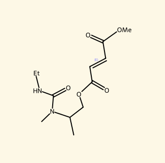 CCNC(=O)N(C)C(C)COC(=O)/C=C/C(=O)OC